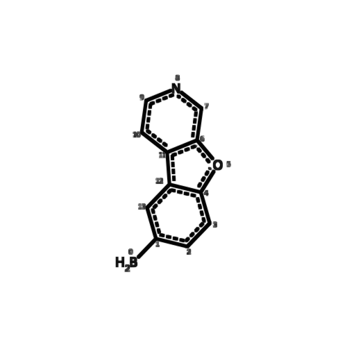 Bc1ccc2oc3cnccc3c2c1